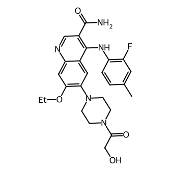 CCOc1cc2ncc(C(N)=O)c(Nc3ccc(C)cc3F)c2cc1N1CCN(C(=O)CO)CC1